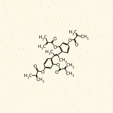 C=C(C)C(=O)Oc1ccc(/C(C)=C(\C)c2ccc(OC(=O)C(=C)C)cc2OC(=O)C(=C)C)c(OC(=O)C(=C)C)c1